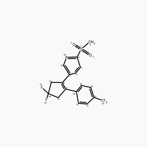 CS(=O)(=O)c1ccc(C2=C(c3ccc(C(F)(F)F)cc3)CC(F)(F)C2)cn1